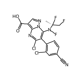 C[C@](F)(CF)N(F)c1c(-c2ccc(C#N)cc2Cl)c(Cl)nc2c(C(=O)O)cnn12